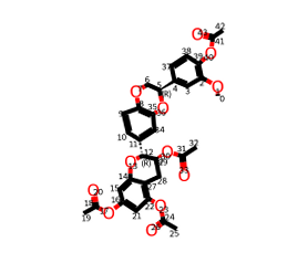 COc1cc([C@@H]2COc3ccc([C@H]4Oc5cc(OC(C)=O)cc(OC(C)=O)c5C[C@@H]4OC(C)=O)cc3O2)ccc1OC(C)=O